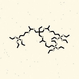 CCO[Si](CCCSC(C)OCC(CC)(COC(C)SCCC[Si](OCC)(OCC)OCC)COC(C)SCCC[Si](OCC)(OCC)OCC)(OCC)OCC